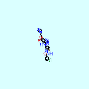 COc1cc2c(Nc3ccc4sc(NC(=O)c5cccc(Cl)c5)nc4c3)ncnc2cc1OCCCN1CCN(C)CC1